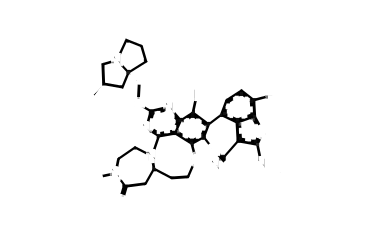 C[C@H]1CN2CCC[C@@]2(COc2nc3c4c(c(Cl)c(-c5ccc(F)c6sc(N)c(C#N)c56)c(F)c4n2)OCCC2CC(=O)N(C)CCN32)C1